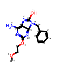 CCOCCOc1nc(N)c2nc(O)n(Cc3ccccc3)c2n1